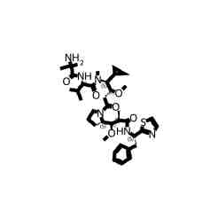 CO[C@H]([C@@H](C)C(=O)N[C@@H](Cc1ccccc1)c1nccs1)[C@@H]1CCCN1C(=O)C[C@@H](OC)[C@H](C1CC1)N(C)C(=O)[C@@H](NC(=O)C(C)(C)N)C(C)C